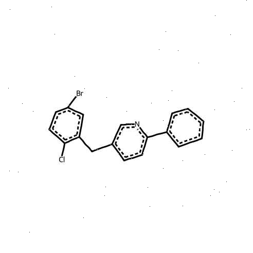 Clc1ccc(Br)cc1Cc1ccc(-c2ccccc2)nc1